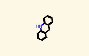 [c]1cccc2c1Cc1ccccc1N2